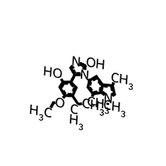 CCOc1cc(O)c(-c2cnc(O)n2-c2cc(C)c3c(c2)c(C)cn3C)cc1C(C)C